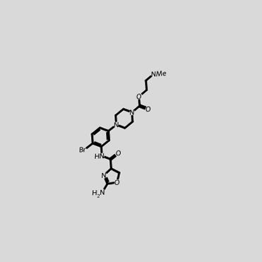 CNCCOC(=O)N1CCN(c2ccc(Br)c(NC(=O)C3COC(N)=N3)c2)CC1